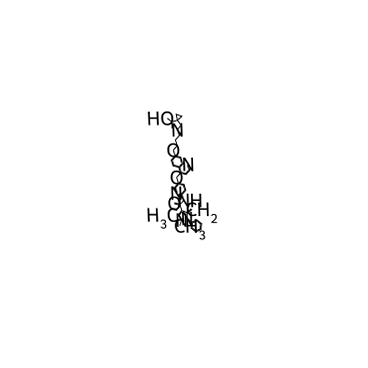 C=C1C(C(=O)Nc2ccc(Oc3ccnc4cc(OCCCN5CC(O)C6(CC6)C5)ccc34)cn2)=C(C)N(C)N1c1ccccc1